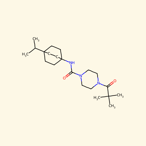 CC(C)C12CCC(NC(=O)N3CCN(C(=O)C(C)(C)C)CC3)(CC1)CC2